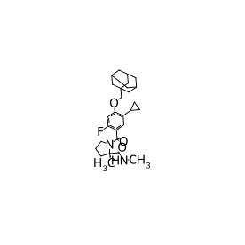 CNC(=O)[C@]1(C)CCCN1C(=O)c1cc(C2CC2)c(OCC23CC4CC(CC(C4)C2)C3)cc1F